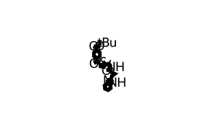 C[C@@H](NC(=O)C1CC1c1nc2ccccc2[nH]1)c1ccc(C(=O)N2CCN(C(=O)OC(C)(C)C)CC2)s1